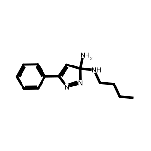 CCCCNC1(N)C=C(c2ccccc2)N=N1